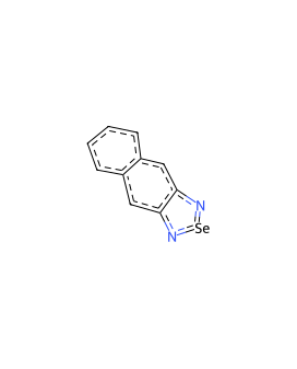 c1ccc2cc3n[se]nc3cc2c1